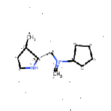 C=[N+](C[C@@H]1NCCC1C)C1CCCC1